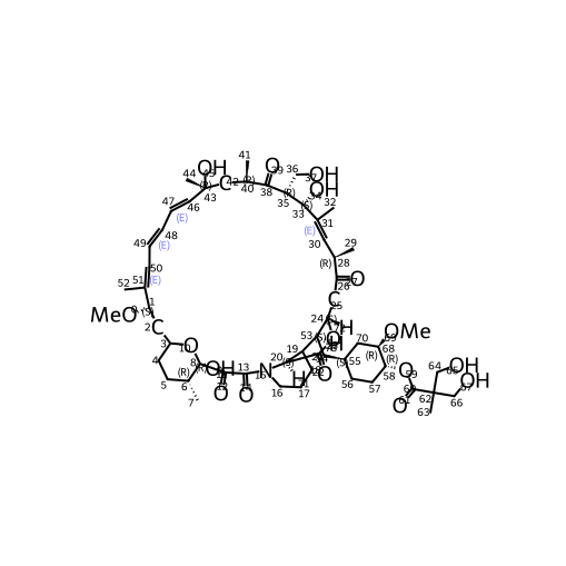 CO[C@H]1CC2CC[C@@H](C)[C@@](O)(O2)C(=O)C(=O)N2CCCC3[C@H]2C(=O)O[C@@H](CC(=O)[C@H](C)/C=C(\C)[C@@H](O)[C@@H](CO)C(=O)[C@H](C)C[C@@](C)(O)/C=C/C=C/C=C/1C)[C@H]3C[C@@H]1CC[C@@H](OC(=O)C(C)(CO)CO)[C@H](OC)C1